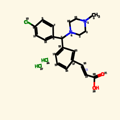 CN1CCN(C(c2ccc(Cl)cc2)c2cccc(/C=C/C(=O)O)c2)CC1.Cl.Cl